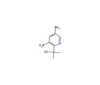 Bc1cnc(C(C)(C)C#N)c(B)c1